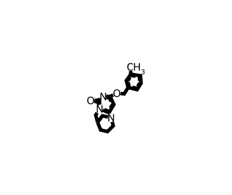 Cc1cccc(COc2cc3n(c(=O)n2)CC2CCCN3C2)c1